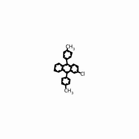 Cc1ccc(-c2c3ccccc3c(-c3ccc(C)cc3)c3cc(Cl)ccc23)cc1